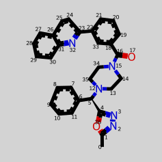 Cc1nnc([C@@H](c2ccccc2)N2CCN(C(=O)c3cccc(-c4ccc5ccccc5n4)c3)CC2)o1